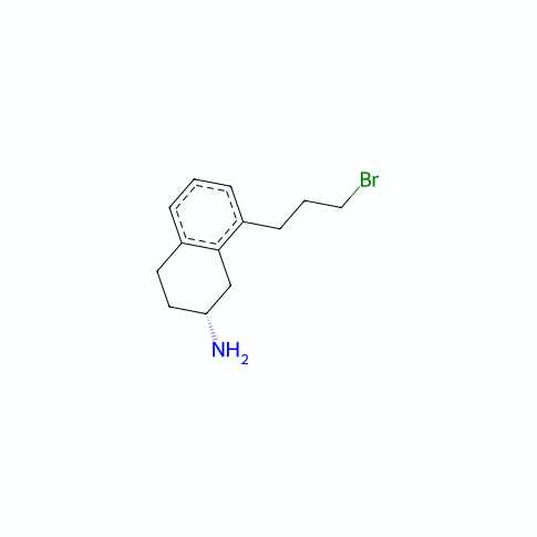 N[C@@H]1CCc2cccc(CCCBr)c2C1